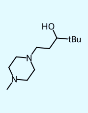 CN1CCN(CCC(O)C(C)(C)C)CC1